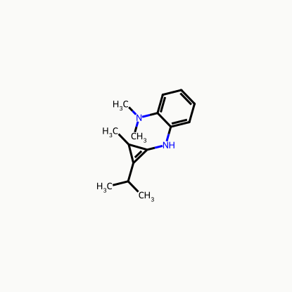 CC(C)C1=C(Nc2ccccc2N(C)C)C1C